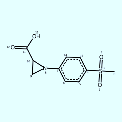 CS(=O)(=O)c1ccc(N2CC2C(=O)O)cc1